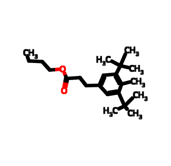 CCCCOC(=O)CCc1cc(C(C)(C)C)c(C)c(C(C)(C)C)c1